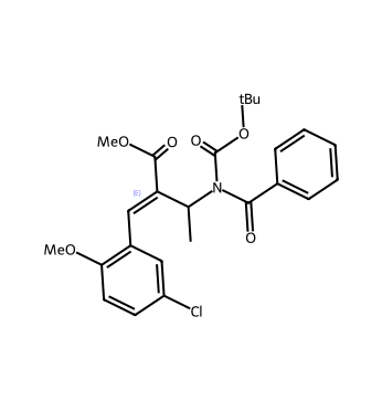 COC(=O)/C(=C/c1cc(Cl)ccc1OC)C(C)N(C(=O)OC(C)(C)C)C(=O)c1ccccc1